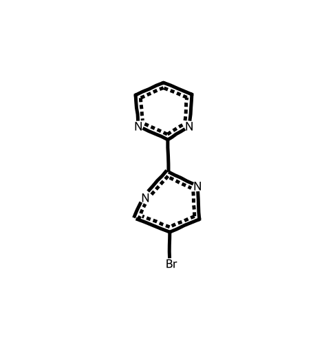 Brc1cnc(-c2ncccn2)nc1